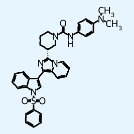 CN(C)c1ccc(NC(=O)N2CCC[C@@H](c3nc(-c4cn(S(=O)(=O)c5ccccc5)c5ccccc45)c4ccccn34)C2)cc1